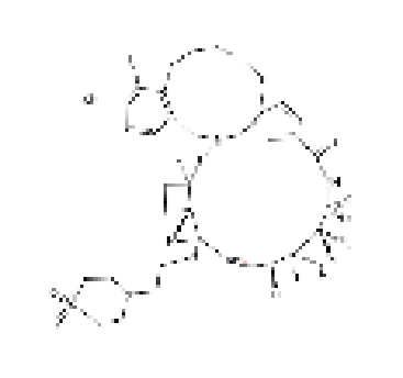 C[C@@H]1[C@@H](C)S(=O)(=O)NC(=O)c2ccc3c(c2)N(Cc2ccc(Cl)c(F)c2CCCCO3)C[C@@H]2CC[C@H]2[C@@H](OCCN2CCS(=O)(=O)CC2)C2=C[C@H]1C2